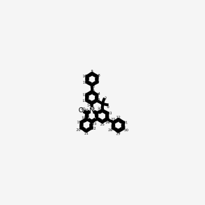 CC1(C)c2cc(-c3ccccc3)ccc2-n2c(=O)c3ccccc3c3cc(-c4ccccc4)cc1c32